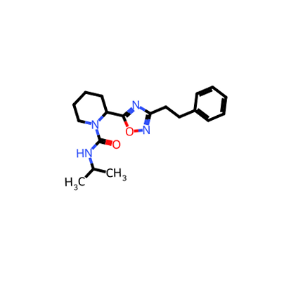 CC(C)NC(=O)N1CCCCC1c1nc(CCc2ccccc2)no1